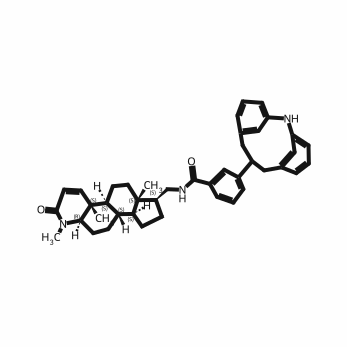 CN1C(=O)C=C[C@]2(C)[C@H]3CC[C@]4(C)[C@@H](CNC(=O)c5cccc(C6Cc7cccc(c7)Nc7cccc(c7)C6)c5)CC[C@H]4[C@@H]3CC[C@@H]12